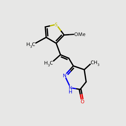 COc1scc(C)c1C(C)=CC1=NNC(=O)CC1C